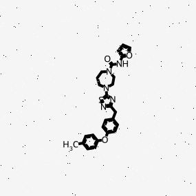 Cc1ccc(Oc2ccc(Cc3nsc(N4CCCN(C(=O)Nc5ccco5)CC4)n3)cc2)cc1